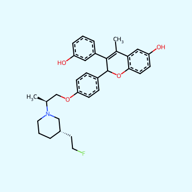 CC1=C(c2cccc(O)c2)C(c2ccc(OC[C@H](C)N3CCC[C@@H](CCF)C3)cc2)Oc2ccc(O)cc21